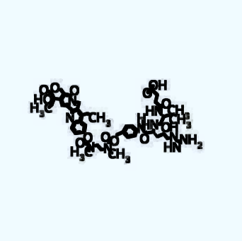 CCc1c2c(nc3ccc(OC(=O)N(C)CCN(C)C(=O)OCc4ccc(NC(=O)[C@H](CCCNC(=N)N)NC(=O)[C@@H](NC(=O)CCC(=O)O)C(C)C)cc4)cc13)-c1cc3c(c(=O)n1C2)COC(=O)[C@]3(O)CC